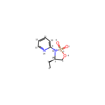 CC[C@@H]1COS(=O)(=O)N1c1ccccn1